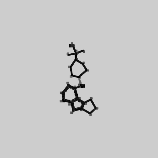 C[N+](C)(O)[C@H]1CC[C@H](Nc2ncnc3sc4c(c23)CCC4)CC1